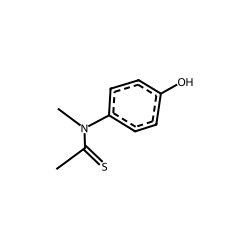 CC(=S)N(C)c1ccc(O)cc1